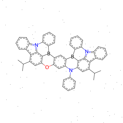 CC(C)c1cc2c3c4c1c1ccccc1n4-c1ccccc1B3c1cc3c(cc1O2)N(c1ccccc1)c1cc(C(C)C)c2c4ccccc4n4c2c1B3c1ccccc1-4